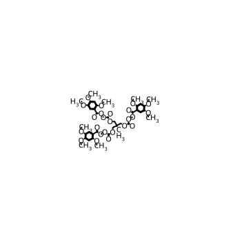 COc1cc(OC)c(C(=O)OOC(=O)OCC(C)(COC(=O)OOC(=O)c2cc(OC)c(OC)cc2OC)COC(=O)OOC(=O)c2cc(OC)c(OC)cc2OC)cc1OC